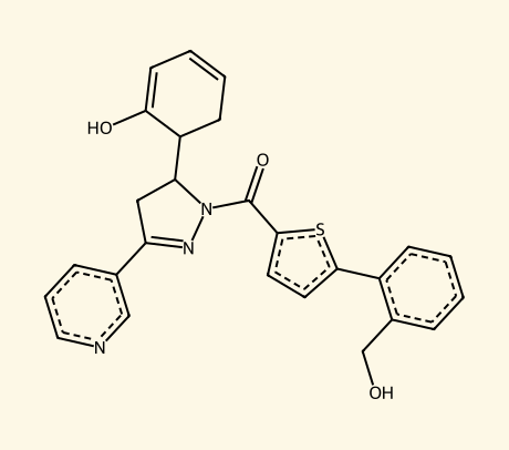 O=C(c1ccc(-c2ccccc2CO)s1)N1N=C(c2cccnc2)CC1C1CC=CC=C1O